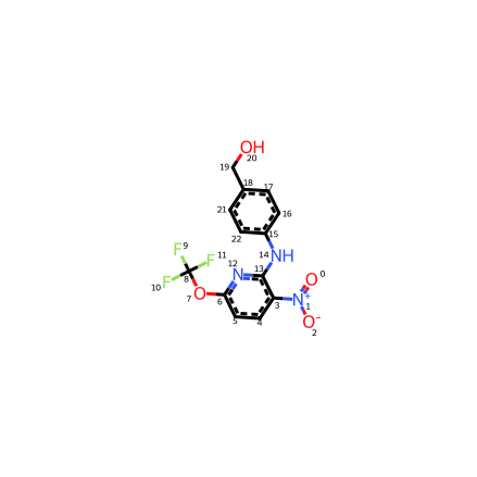 O=[N+]([O-])c1ccc(OC(F)(F)F)nc1Nc1ccc(CO)cc1